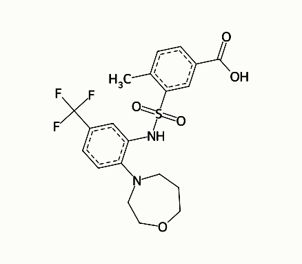 Cc1ccc(C(=O)O)cc1S(=O)(=O)Nc1cc(C(F)(F)F)ccc1N1CCCOCC1